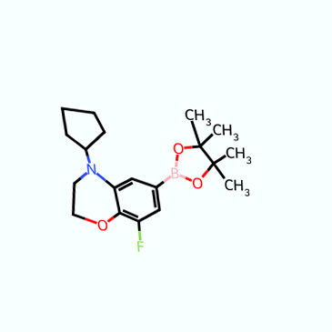 CC1(C)OB(c2cc(F)c3c(c2)N(C2CCCC2)CCO3)OC1(C)C